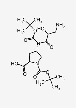 CC(C)(C)OC(=O)N1C[C@@H](N(C(=O)OC(C)(C)C)C(=O)[C@@H](O)CN)C[C@@H]1C(=O)O